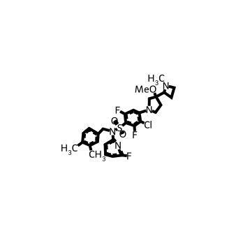 COC1(C2CCN2C)CCN(c2cc(F)c(S(=O)(=O)N(Cc3ccc(C)c(C)c3)c3cccc(F)n3)c(F)c2Cl)C1